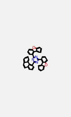 c1ccc2c(c1)ccc1cccc(-c3nc(-c4cccc5oc6ccccc6c45)nc(-c4cccc5oc6ccccc6c45)n3)c12